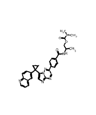 CC(COC(=O)N(C)C)NC(=O)c1ccc(-c2cnc3ncc(C4(c5ccc6ncccc6c5)CC4)n3n2)cc1